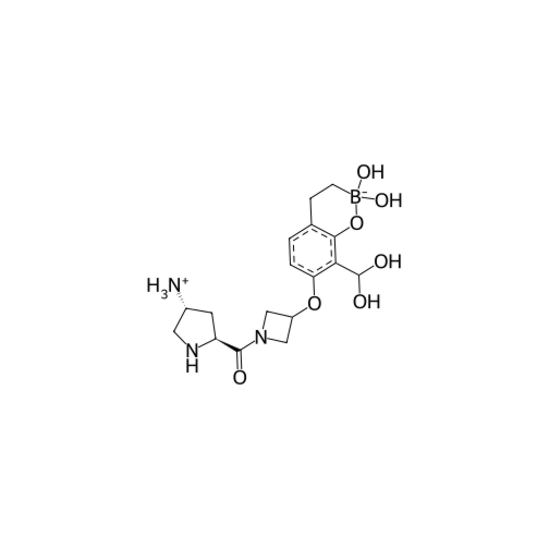 [NH3+][C@H]1CN[C@H](C(=O)N2CC(Oc3ccc4c(c3C(O)O)O[B-](O)(O)CC4)C2)C1